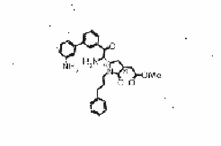 COC(=O)C[C@@H]1C[C@@H](C(N)C(=O)c2cccc(-c3cccc(N)c3)c2)N(CCCc2ccccc2)C1=O